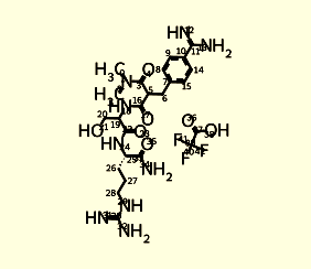 CN(C)C(=O)C(Cc1ccc(C(=N)N)cc1)C(=O)NC(CO)C(=O)N[C@@H](CCCNC(=N)N)C(N)=O.O=C(O)C(F)(F)F